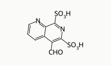 O=Cc1c(S(=O)(=O)O)nc(S(=O)(=O)O)c2ncccc12